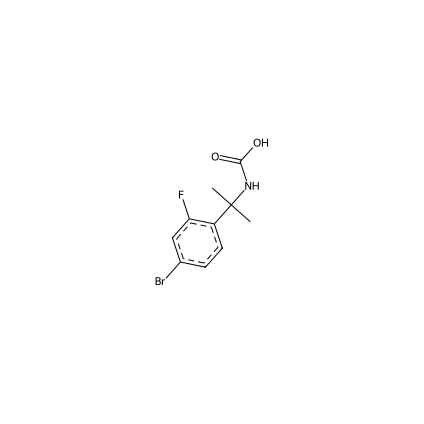 CC(C)(NC(=O)O)c1ccc(Br)cc1F